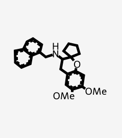 COc1cc2c(cc1OC)OC1(CCCC1)C(NCc1cccc3ccccc13)C2